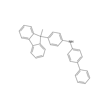 CC1(c2ccc(Nc3ccc(-c4ccccc4)cc3)cc2)c2ccccc2-c2ccccc21